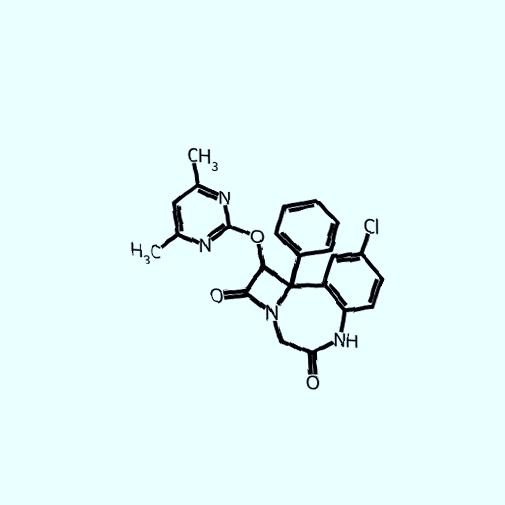 Cc1cc(C)nc(OC2C(=O)N3CC(=O)Nc4ccc(Cl)cc4C23c2ccccc2)n1